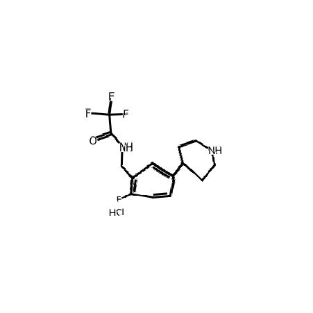 Cl.O=C(NCc1cc(C2CCNCC2)ccc1F)C(F)(F)F